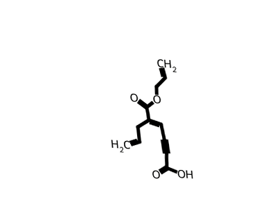 C=CCOC(=O)C(=CC#CC(=O)O)CC=C